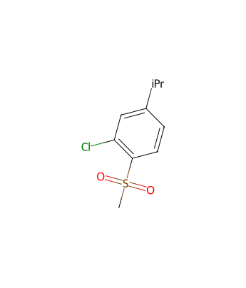 CC(C)c1ccc(S(C)(=O)=O)c(Cl)c1